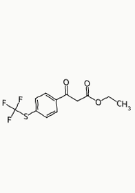 CCOC(=O)CC(=O)c1ccc(SC(F)(F)F)cc1